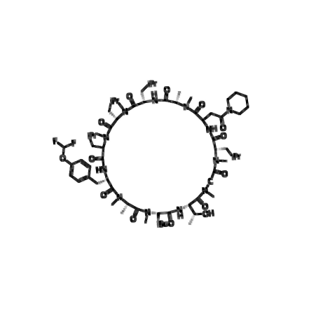 CC[C@H](C)[C@H]1C(=O)N[C@@H]([C@@H](C)O)C(=O)N(C)CC(=O)N(C)[C@@H](CC(C)C)C(=O)NC(CC(=O)N2CCCCC2)C(=O)N(C)[C@@H](C)C(=O)N[C@@H](CC(C)C)C(=O)N(C)[C@@H](CC(C)C)C(=O)N(C)C(CC(C)C)C(=O)N[C@@H](Cc2ccc(OC(F)F)cc2)C(=O)N(C)[C@@H](C)C(=O)N1C